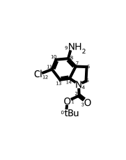 CC(C)(C)OC(=O)N1CCc2c(N)cc(Cl)cc21